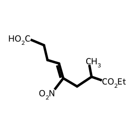 CCOC(=O)C(C)CC(=CCCC(=O)O)[N+](=O)[O-]